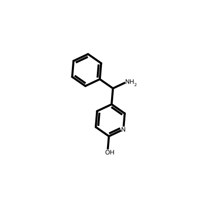 NC(c1ccccc1)c1ccc(O)nc1